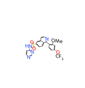 COc1cc(OC(F)(F)F)ccc1-c1nccc2cc(S(=O)(=O)Nc3ccncn3)ccc12